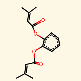 CC(C)=CC(=O)Oc1ccccc1OC(=O)C=C(C)C